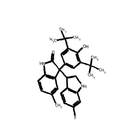 Cc1ccc2c(c1)C(c1cc(C(C)(C)C)c(O)c(C(C)(C)C)c1)(C1CNc3cc(F)ccc31)C(=O)N2